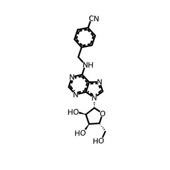 N#Cc1ccc(CNc2ncnc3c2ncn3[C@@H]2O[C@H](CO)[C@@H](O)[C@H]2O)cc1